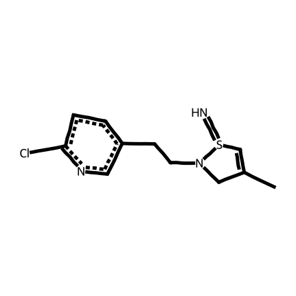 CC1=CS(=N)N(CCc2ccc(Cl)nc2)C1